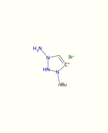 CCCCN1[C+]=CN(N)N1.[Br-]